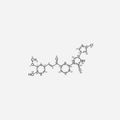 COc1cc(/C=C/C(=O)c2cccc(-n3cc(-c4ccc(Cl)s4)[nH]c3=O)c2)ccc1O